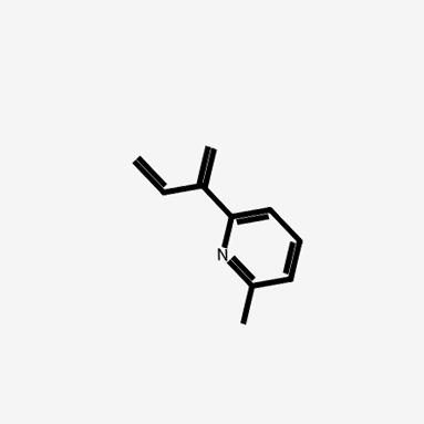 C=CC(=C)c1cccc(C)n1